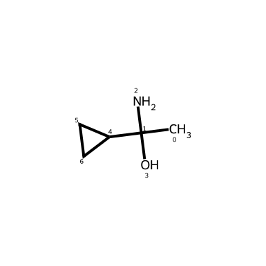 CC(N)(O)C1CC1